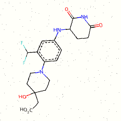 O=C(O)CC1(O)CCN(c2ccc(NC3CCC(=O)NC3=O)cc2C(F)F)CC1